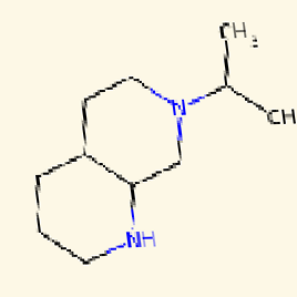 CC(C)N1CCC2CCCNC2C1